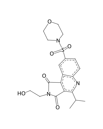 CC(C)c1nc2ccc(S(=O)(=O)N3CCOCC3)cc2c2c1C(=O)N(CCO)C2=O